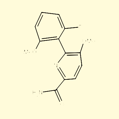 COc1ccc(C(N)=O)nc1-c1c(F)cccc1OC